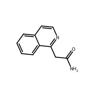 NC(=O)Cc1nccc2ccccc12